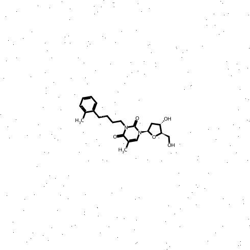 Cc1ccccc1CCCCn1c(=O)c(C)cn([C@H]2C[C@H](O)[C@@H](CO)O2)c1=O